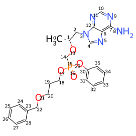 C[C@H](Cn1cnc2c(N)ncnc21)OCP(=O)(OCCCOCc1ccccc1)Oc1ccccc1